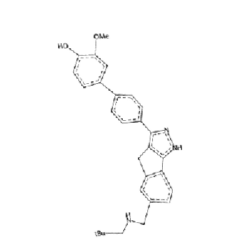 COc1cc(-c2ccc(-c3n[nH]c4c3Cc3cc(CNCC(C)(C)C)ccc3-4)cc2)ccc1O